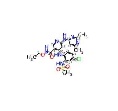 CCONC(=O)c1cnc(Nc2cc(C)nc(C)n2)cc1Nc1ccc(Cl)cc1NS(C)(=O)=O